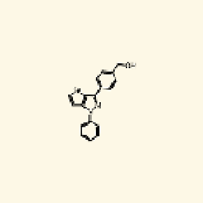 OCc1ccc(-c2nn(-c3ccccc3)c3cc[se]c23)cc1